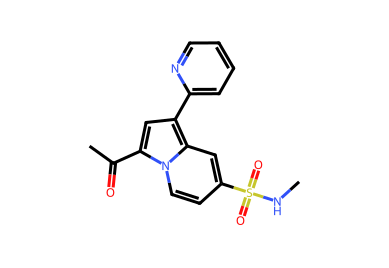 CNS(=O)(=O)c1ccn2c(C(C)=O)cc(-c3ccccn3)c2c1